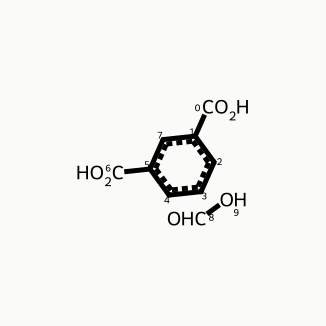 O=C(O)c1cccc(C(=O)O)c1.O=CO